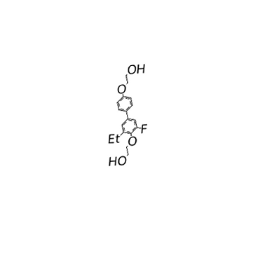 CCc1cc(-c2ccc(OCCO)cc2)cc(F)c1OCCO